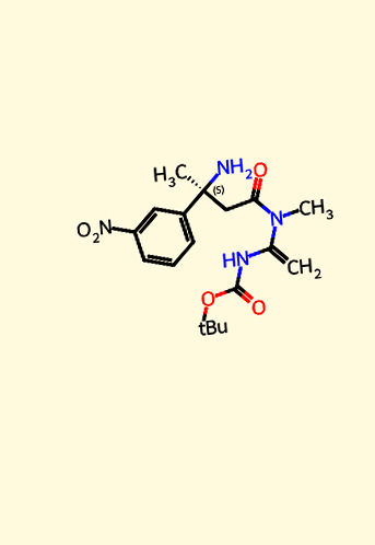 C=C(NC(=O)OC(C)(C)C)N(C)C(=O)C[C@](C)(N)c1cccc([N+](=O)[O-])c1